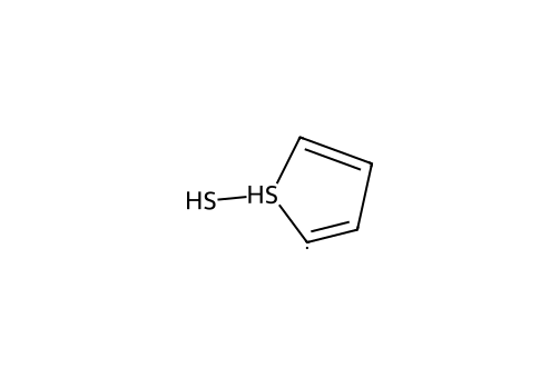 S[SH]1[C]=CC=C1